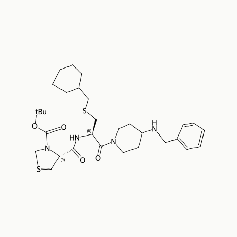 CC(C)(C)OC(=O)N1CSC[C@H]1C(=O)N[C@@H](CSCC1CCCCC1)C(=O)N1CCC(NCc2ccccc2)CC1